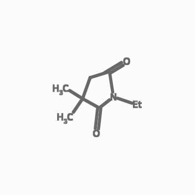 CCN1C(=O)CC(C)(C)C1=O